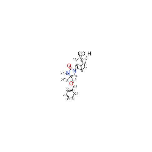 O=C1N(C2C3CC4CC2CC(C(=O)O)(C4)C3)CC2(COCc3ccccc3)CCCN12